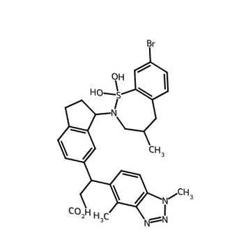 Cc1c(C(CC(=O)O)c2ccc3c(c2)C(N2CC(C)Cc4ccc(Br)cc4S2(O)O)CC3)ccc2c1nnn2C